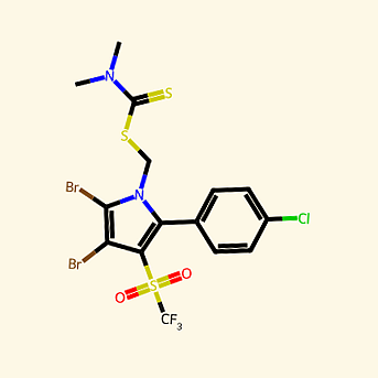 CN(C)C(=S)SCn1c(Br)c(Br)c(S(=O)(=O)C(F)(F)F)c1-c1ccc(Cl)cc1